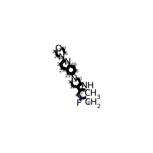 C=C/C(F)=C\c1c(C)[nH]c2c1CCN(c1ccc3nc(N4CCOCC4)ccc3c1)C2